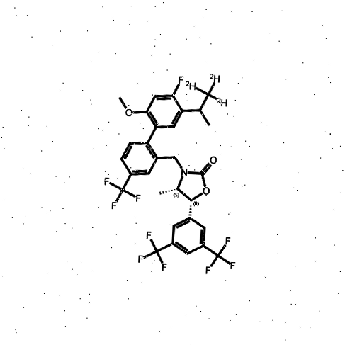 [2H]C([2H])([2H])C(C)c1cc(-c2ccc(C(F)(F)F)cc2CN2C(=O)O[C@H](c3cc(C(F)(F)F)cc(C(F)(F)F)c3)[C@@H]2C)c(OC)cc1F